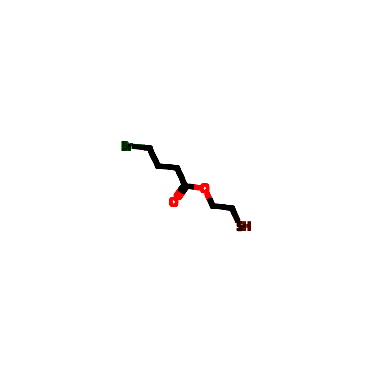 O=C(CCCBr)OCCS